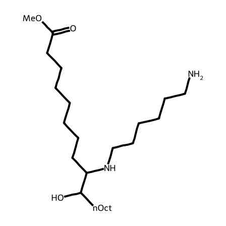 CCCCCCCCC(O)C(CCCCCCCC(=O)OC)NCCCCCCN